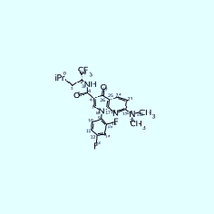 CC(C)C[C@@H](NC(=O)c1cn(-c2ccc(F)cc2F)c2nc(N(C)C)ccc2c1=O)C(F)(F)F